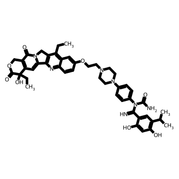 CCc1c2c(nc3ccc(OCCN4CCN(c5ccc(N(C(=N)c6cc(C(C)C)c(O)cc6O)C(N)=O)cc5)CC4)cc13)-c1cc3c(c(=O)n1C2)COC(=O)C3(O)CC